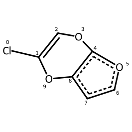 ClC1=COc2occc2O1